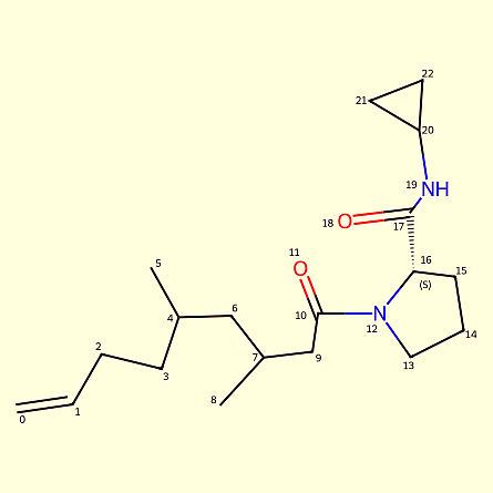 C=CCCC(C)CC(C)CC(=O)N1CCC[C@H]1C(=O)NC1CC1